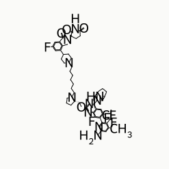 Cc1cc(N)nc(-c2c(Cl)cc3c(N4CC5CCC(C4)N5)nc(OC[C@@H]4CCCN4CCCCCCCN4CCC(c5cc(F)cc6c5CN(C5CCC(=O)NC5=O)C6=O)CC4)nc3c2F)c1C(F)(F)F